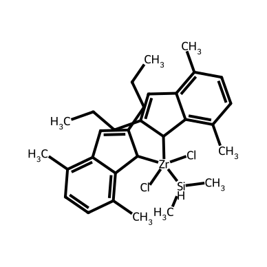 CCCC1=Cc2c(C)ccc(C)c2[CH]1[Zr]([Cl])([Cl])([CH]1C(CCC)=Cc2c(C)ccc(C)c21)[SiH](C)C